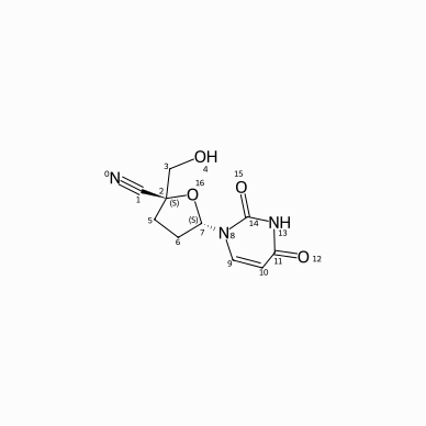 N#C[C@]1(CO)CC[C@@H](n2ccc(=O)[nH]c2=O)O1